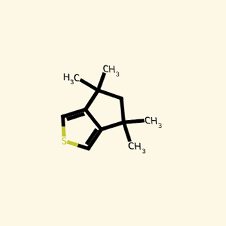 CC1(C)CC(C)(C)c2cscc21